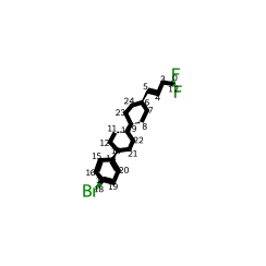 FC(F)CC=C[C@H]1CC[C@H]([C@H]2CC[C@H](c3ccc(Br)cc3)CC2)CC1